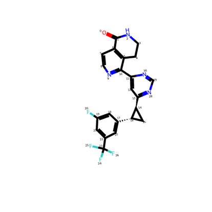 O=C1NCCc2c1ccnc2-c1cc([C@H]2C[C@@H]2c2cc(F)cc(C(F)(F)F)c2)ncn1